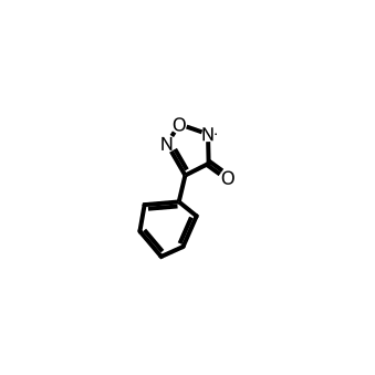 O=C1[N]ON=C1c1ccccc1